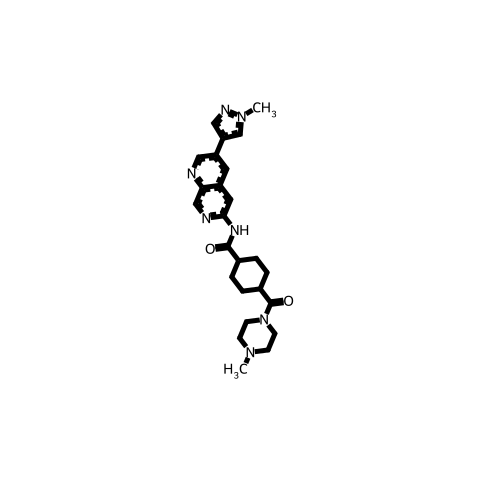 CN1CCN(C(=O)C2CCC(C(=O)Nc3cc4cc(-c5cnn(C)c5)cnc4cn3)CC2)CC1